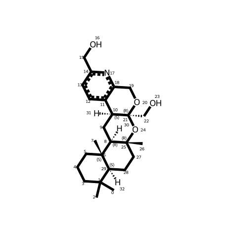 CC1(C)CCC[C@]2(C)[C@H]3C[C@H]4c5ccc(CO)nc5CO[C@@]4(CO)O[C@]3(C)CC[C@@H]12